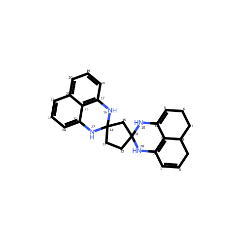 C1=CC2=C3C(=CCCC3C1)NC1(CCC3(C1)Nc1cccc4cccc(c14)N3)N2